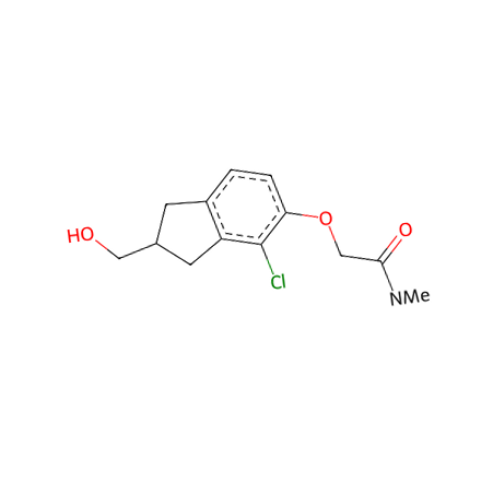 CNC(=O)COc1ccc2c(c1Cl)CC(CO)C2